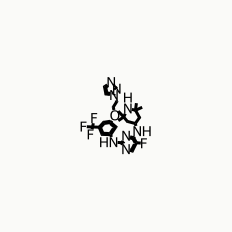 CC1(C)CC(Nc2nc(Nc3cc(OCCn4ccnn4)cc(C(F)(F)F)c3)ncc2F)CC(C)(C)N1